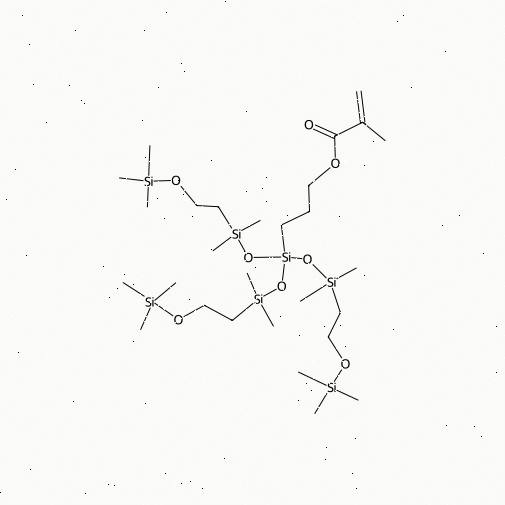 C=C(C)C(=O)OCCC[Si](O[Si](C)(C)CCO[Si](C)(C)C)(O[Si](C)(C)CCO[Si](C)(C)C)O[Si](C)(C)CCO[Si](C)(C)C